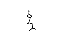 CC(C)CN(C)C1CNC1